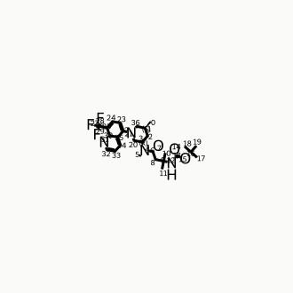 C[C@H]1C[C@@H](N(C)C(=O)CC(C)(C)NC(=O)OC(C)(C)C)CN(c2ccc(C(F)(F)F)c3ncccc23)C1